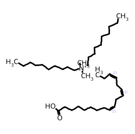 CC/C=C\C/C=C\C/C=C\CCCCCCCC(=O)O.CCCCCCCCCC[N+](C)(C)CCCCCCCCCC